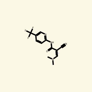 CN(C)/C=C(/C#N)C(=O)Nc1ccc(C(F)(F)F)cn1